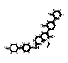 CCn1c(=O)c(-c2ccc(-c3ncccc3F)cc2Cl)cc2cnc(Nc3ccc(C4CCN(C)CC4)cc3)nc21